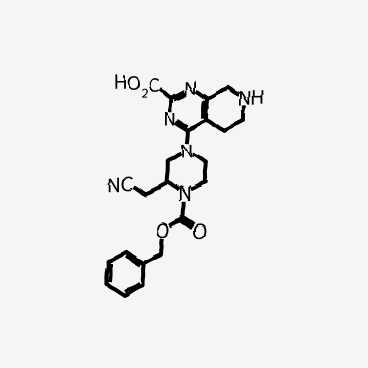 N#CCC1CN(c2nc(C(=O)O)nc3c2CCNC3)CCN1C(=O)OCc1ccccc1